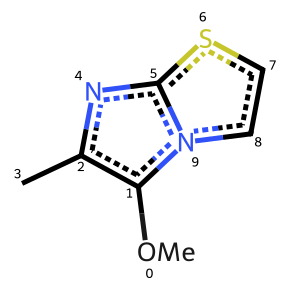 COc1c(C)nc2sccn12